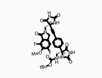 COc1c(F)cc2c(c1F)C(=O)N(C[C@@]1(C#Cc3ccc([C@]4(CNC(=O)OC(C)(C)C)NC(=O)NC4=O)cc3)NC(=O)NC1=O)C2